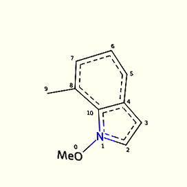 COn1ccc2cccc(C)c21